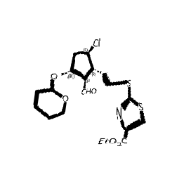 CCOC(=O)c1csc(SCC[C@@H]2[C@@H](C=O)[C@H](OC3CCCCO3)C[C@H]2Cl)n1